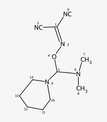 [C-]#[N+]C(C#N)=NOC(N(C)C)N1CCCCC1